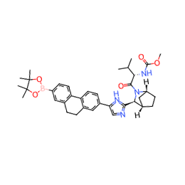 COC(=O)N[C@H](C(=O)N1[C@@H]2CC[C@@H](C2)[C@H]1c1ncc(-c2ccc3c(c2)CCc2cc(B4OC(C)(C)C(C)(C)O4)ccc2-3)[nH]1)C(C)C